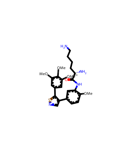 COc1ccc(-c2cnsc2-c2cc(OC)c(OC)c(OC)c2)cc1NC(=O)[C@@H](N)CCCCN